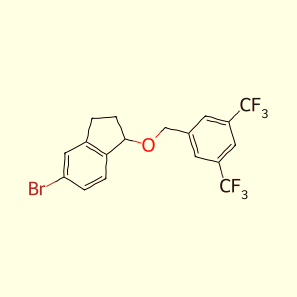 FC(F)(F)c1cc(COC2CCc3cc(Br)ccc32)cc(C(F)(F)F)c1